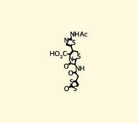 CC(=O)Nc1ncc(C2=C(C(=O)O)N3C(=O)C(NC(=O)Cc4csc(=O)s4)C3SC2)s1